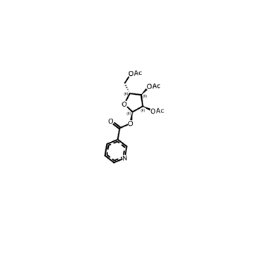 CC(=O)OC[C@H]1O[C@H](OC(=O)c2cccnc2)[C@H](OC(C)=O)[C@@H]1OC(C)=O